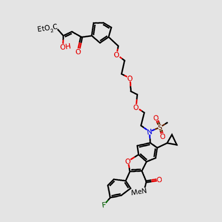 CCOC(=O)/C(O)=C/C(=O)c1cccc(COCCOCCOCCN(c2cc3oc(-c4ccc(F)cc4)c(C(=O)NC)c3cc2C2CC2)S(C)(=O)=O)c1